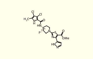 COC(=O)c1sc(N2CC[C@@H](NC(=O)c3[nH]c(C)c(Cl)c3Cl)[C@@H](F)C2)nc1-c1ccn[nH]1